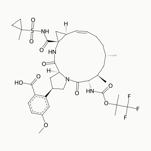 COc1ccc(C(=O)O)c([C@H]2C[C@H]3C(=O)N[C@]4(C(=O)NS(=O)(=O)C5(C)CC5)C[C@H]4/C=C\CC[C@H](C)C[C@@H](C)[C@H](NC(=O)OC(C)(C)C(F)(F)F)C(=O)N3C2)c1